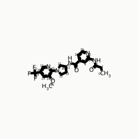 CCC(=O)Nc1cc(C(=O)N[C@@H]2CCN(c3ncc(C(F)(F)F)cc3OC)C2)ccn1